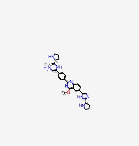 C=C(N/C(=C\N)c1ccc(-c2nc(OCC)c3cc(-c4cnc([C@@H]5CCCN5)[nH]4)ccc3n2)cc1)[C@@H]1CCCN1